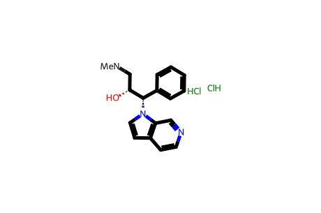 CNC[C@@H](O)[C@H](c1ccccc1)n1ccc2ccncc21.Cl.Cl